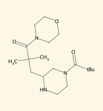 CC(C)(C)C(=O)N1CCNC(CC(C)(C)C(=O)N2CCOCC2)C1